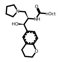 CCCCCCCCC(=O)N[C@H](CN1CCCC1)[C@H](O)c1ccc2c(c1)CCCO2